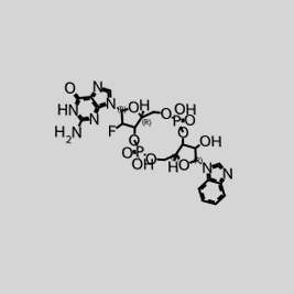 Nc1nc2c(ncn2[C@@H]2O[C@@H]3COP(=O)(O)OC4C(O)[C@H](n5cnc6ccccc65)O[C@@H]4COP(=O)(O)OC3C2F)c(=O)[nH]1